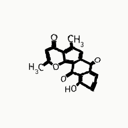 Cc1cc(=O)c2c(C)cc3c(c2o1)C(=O)c1c(O)cccc1C3=O